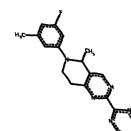 Cc1cc(F)cc(N2CCc3nc(-c4ncccn4)ncc3C2C)c1